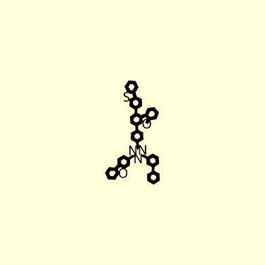 c1ccc(-c2cccc(-c3nc(-c4ccc(-c5ccc(-c6ccc7c(c6)sc6ccccc67)c6c5oc5ccccc56)cc4)nc(-c4ccc5c(c4)oc4ccccc45)n3)c2)cc1